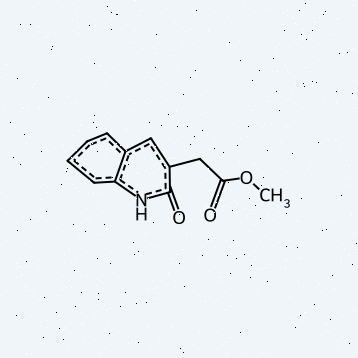 COC(=O)Cc1cc2ccccc2[nH]c1=O